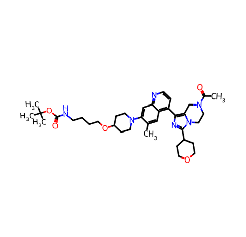 CC(=O)N1CCn2c(C3CCOCC3)nc(-c3ccnc4cc(N5CCC(OCCCCNC(=O)OC(C)(C)C)CC5)c(C)cc34)c2C1